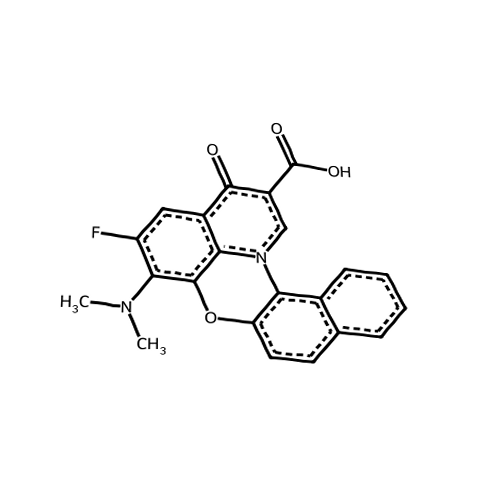 CN(C)c1c(F)cc2c(=O)c(C(=O)O)cn3c2c1Oc1ccc2ccccc2c1-3